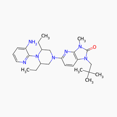 CCC1CN(c2ccc3c(n2)n(C)c(=O)n3CC(C)(C)C)CC(CC)N1c1ncccc1N